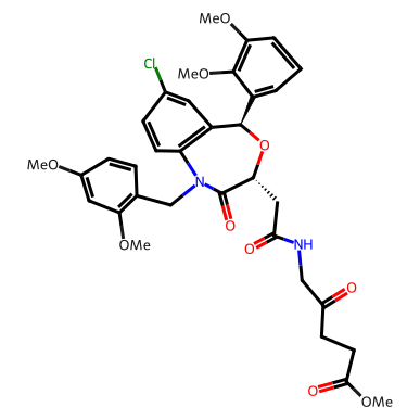 COC(=O)CCC(=O)CNC(=O)C[C@H]1O[C@H](c2cccc(OC)c2OC)c2cc(Cl)ccc2N(Cc2ccc(OC)cc2OC)C1=O